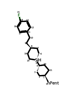 CCCCC[C@H]1CC[C@H]([Si@H]2CC[C@H](CCc3ccc(F)cc3)CC2)CC1